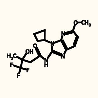 COc1ccc2nc(NC(=O)CC(C)(O)C(F)(F)F)n(C3CCC3)c2n1